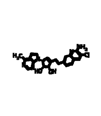 Cc1ncnc2c1ccn2[C@@H]1C=C(CCc2ccc3cc(Cl)c(N)nc3c2)[C@@H](O)[C@H]1O